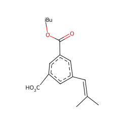 CCC(C)OC(=O)c1cc(C=C(C)C)cc(C(=O)O)c1